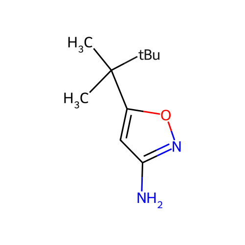 CC(C)(C)C(C)(C)c1cc(N)no1